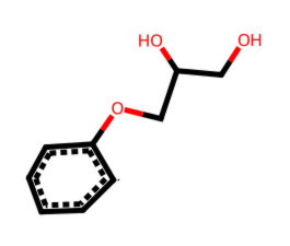 OCC(O)COc1[c]cccc1